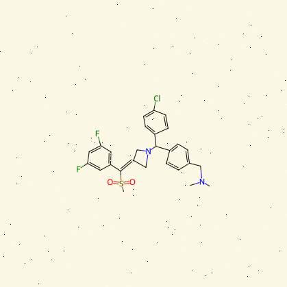 CN(C)Cc1ccc(C(c2ccc(Cl)cc2)N2CC(=C(c3cc(F)cc(F)c3)S(C)(=O)=O)C2)cc1